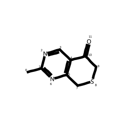 Cc1ncc2c(n1)CSCC2=O